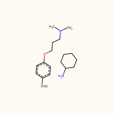 CN(C)CCCOc1ccc(C=O)cc1.NC1CCCCC1